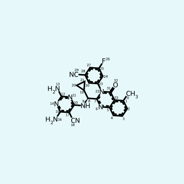 Cc1cccc2nc([C@@H](Nc3nc(N)nc(N)c3C#N)C3CC3)n(-c3cc(F)cc(C#N)c3)c(=O)c12